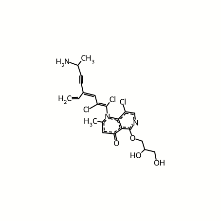 C=C/C(C#CC(C)N)=C\C(Cl)=C(/Cl)n1c(C)cc(=O)c2c(OCC(O)CO)ncc(Cl)c21